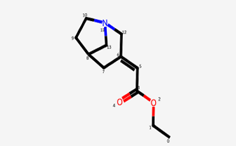 CCOC(=O)/C=C1\CC2CCN(C1)C2